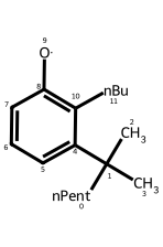 CCCCCC(C)(C)c1cccc([O])c1CCCC